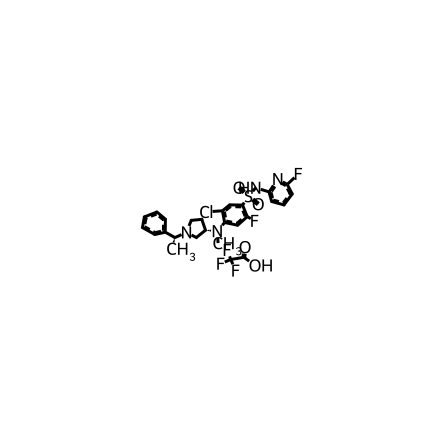 C[C@H](c1ccccc1)N1CC[C@H](N(C)c2cc(F)c(S(=O)(=O)Nc3cccc(F)n3)cc2Cl)C1.O=C(O)C(F)(F)F